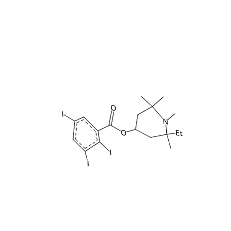 CCC1(C)CC(OC(=O)c2cc(I)cc(I)c2I)CC(C)(C)N1C